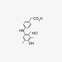 Cc1cc(Nc2ccc(CC(=O)O)cc2)c(C)c(C)c1O.Cl